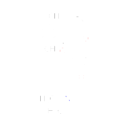 CCN(CC)CCOc1ccc(-c2oc3ccccc3c2C(=O)c2cc(C)ccc2C)cc1